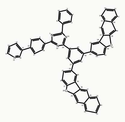 c1ccc(-c2nc(-c3ccc(-c4cccnc4)cc3)nc(-c3cc(-c4ccc5oc6cc7ccccc7cc6c5c4)cc(-c4ccc5oc6cc7ccccc7cc6c5c4)c3)n2)cc1